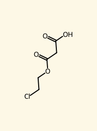 O=C(O)CC(=O)OCCCl